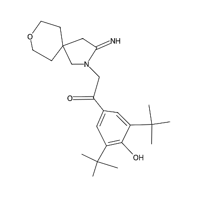 CC(C)(C)c1cc(C(=O)CN2CC3(CCOCC3)CC2=N)cc(C(C)(C)C)c1O